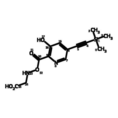 C[Si](C)(C)C#Cc1cnc(C(=O)ONCC(=O)O)c(O)c1